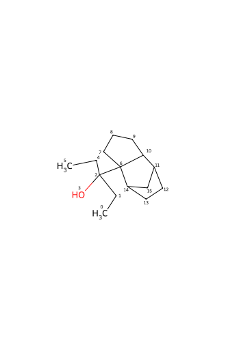 CCC(O)(CC)C12CCCC1C1CCC2C1